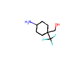 NC1CCC(CO)(C(F)(F)F)CC1